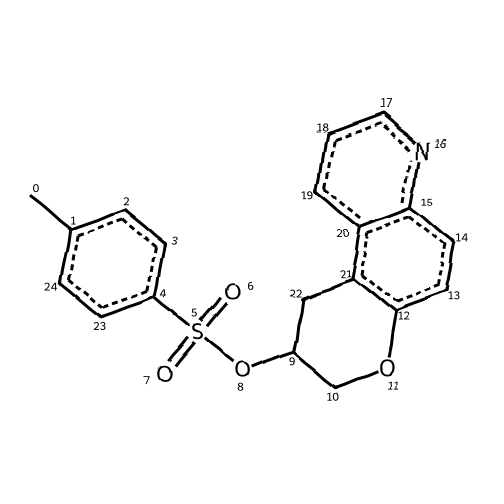 Cc1ccc(S(=O)(=O)OC2COc3ccc4ncccc4c3C2)cc1